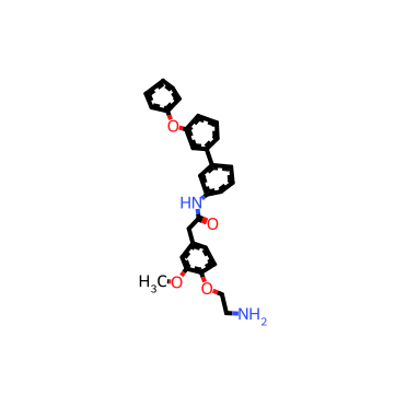 COc1cc(CC(=O)Nc2cccc(-c3cccc(Oc4ccccc4)c3)c2)ccc1OCCN